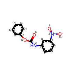 O=C(Nc1cccc([N+](=O)[O-])c1)Oc1ccccc1